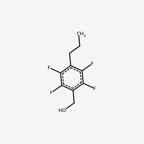 CCCc1c(F)c(F)c(CO)c(F)c1F